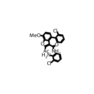 COc1ccc(-c2ccccc2Cl)c2c(C(N)=O)c(C(C)=O)oc12.Nc1ccccc1Cl